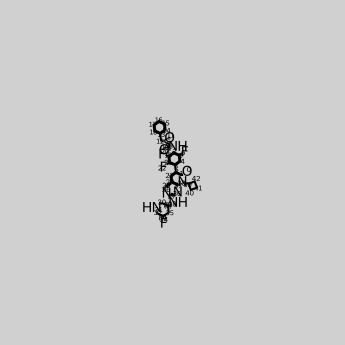 O=c1c(-c2cc(F)c(NS(=O)(=O)Cc3ccccc3)c(F)c2F)cc2cnc(N[C@@H]3CNC[C@@H](F)C3)nc2n1C1CCC1